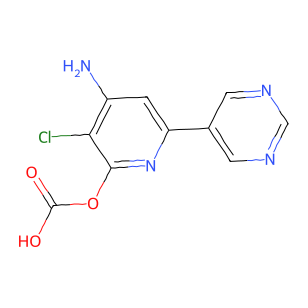 Nc1cc(-c2cncnc2)nc(OC(=O)O)c1Cl